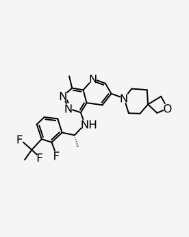 Cc1nnc(N[C@H](C)c2cccc(C(C)(F)F)c2F)c2cc(N3CCC4(CC3)COC4)cnc12